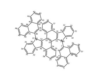 c1ccc2c(c1)cc(-n1c3ccccc3c3c4ccccc4c4c(c5ccccc5c5c6ccccc6n(-c6cc7ccccc7c7ccccc67)c54)c31)c1ccccc12